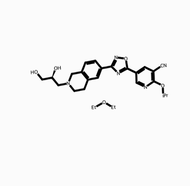 CC(C)Oc1ncc(-c2nc(-c3ccc4c(c3)CCN(C[C@H](O)CO)C4)no2)cc1C#N.CCOCC